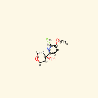 COc1ccc(C2(O)CCOCC2)nc1F